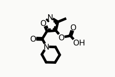 Cc1noc(C(=O)N2CCCCC2)c1OC(=O)O